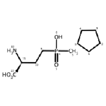 C1CCCC1.CP(=O)(O)CC[C@H](N)C(=O)O